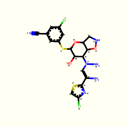 N#Cc1cc(Cl)cc(SC2OC3CNOC3C(N(N)/C=C(\N)c3nc(Cl)cs3)C2O)c1